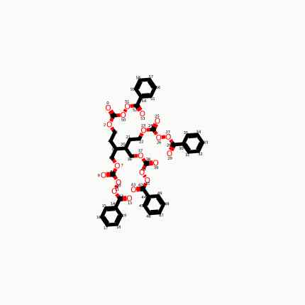 O=C(OCCC(COC(=O)OOC(=O)c1ccccc1)C(CCOC(=O)OOC(=O)c1ccccc1)COC(=O)OOC(=O)c1ccccc1)OOC(=O)c1ccccc1